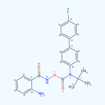 CC(C)(C)N(C(=O)ONC(=O)c1ccccc1N)c1ccc(-c2ccc(F)cc2)cc1